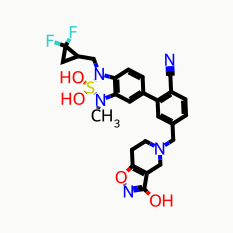 CN1c2cc(-c3cc(CN4CCc5onc(O)c5C4)ccc3C#N)ccc2N(CC2CC2(F)F)S1(O)O